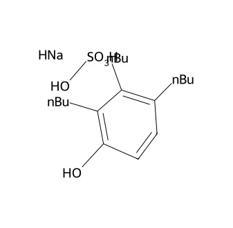 CCCCc1ccc(O)c(CCCC)c1CCCC.O=S(=O)(O)O.[NaH]